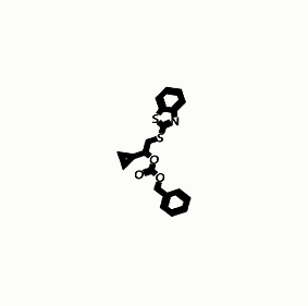 O=C(OCc1ccccc1)OC(CSc1nc2ccccc2s1)C1CC1